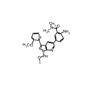 COc1cccnc1-c1nn(POI)c2ncc(-c3ccc(N)c(C(=O)N(C)C)c3)cc12